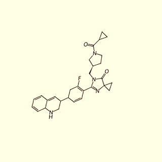 O=C(C1CC1)N1CC[C@@H](CN2C(=O)C3(CC3)N=C2C2=C(F)CC(C3C=C4C=CC=CC4NC3)C=C2)C1